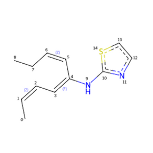 C\C=C/C=C(\C=C/CC)Nc1nccs1